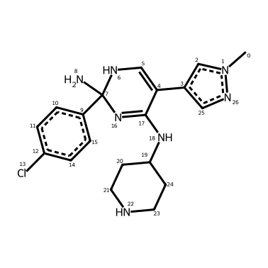 Cn1cc(C2=CNC(N)(c3ccc(Cl)cc3)N=C2NC2CCNCC2)cn1